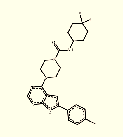 O=C(NC1CCC(F)(F)CC1)N1CCN(c2ncnc3[nH]c(-c4ccc(F)cc4)cc23)CC1